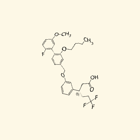 CCCCOc1cc(COc2cccc([C@@H](CCC(F)(F)F)CC(=O)O)c2)ccc1-c1cc(OC)ccc1F